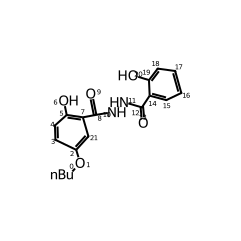 CCCCOc1ccc(O)c(C(=O)NNC(=O)c2ccccc2O)c1